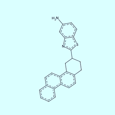 Nc1ccc2sc(C3CCc4ccc5c(ccc6ccccc65)c4C3)nc2c1